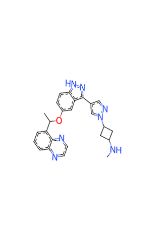 CNC1CC(n2cc(-c3n[nH]c4ccc(OC(C)c5cccc6nccnc56)cc34)cn2)C1